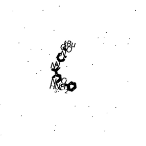 CC(Oc1cc(-c2cnn(C3CCN(C(=O)OC(C)(C)C)CC3)c2)cnc1N)c1ccccc1